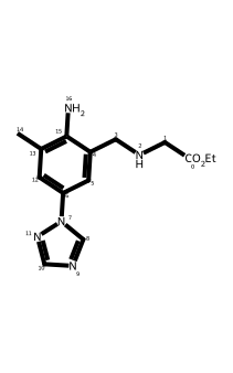 CCOC(=O)CNCc1cc(-n2cncn2)cc(C)c1N